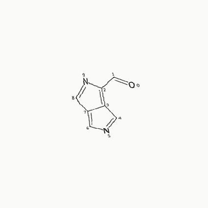 O=CC1=C2C=NC=C2C=N1